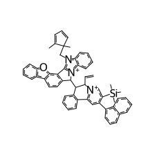 C=CC1C(C2c3ccc4c(oc5ccccc54)c3-c3n(CC4(C)C=CC=C4C)c4ccccc4[n+]32)c2ccccc2-c2cc(-c3cccc4ccccc34)c([Si](C)(C)C)c[n+]21